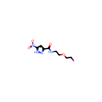 O=C(NCCOCCI)c1cc([N+](=O)[O-])[nH]n1